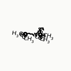 COc1ccc(CCCCN(C)CCCC2(c3ccc(OC)c(OC)c3)SCCCS2)cc1OC